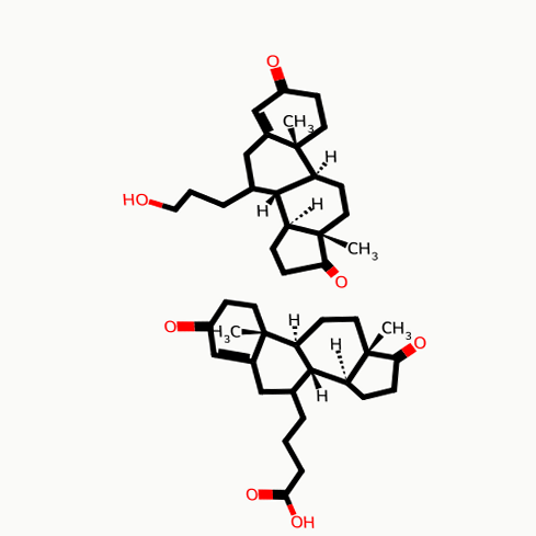 C[C@]12CCC(=O)C=C1CC(CCCC(=O)O)[C@@H]1[C@@H]2CC[C@]2(C)C(=O)CC[C@@H]12.C[C@]12CCC(=O)C=C1CC(CCCO)[C@@H]1[C@@H]2CC[C@]2(C)C(=O)CC[C@@H]12